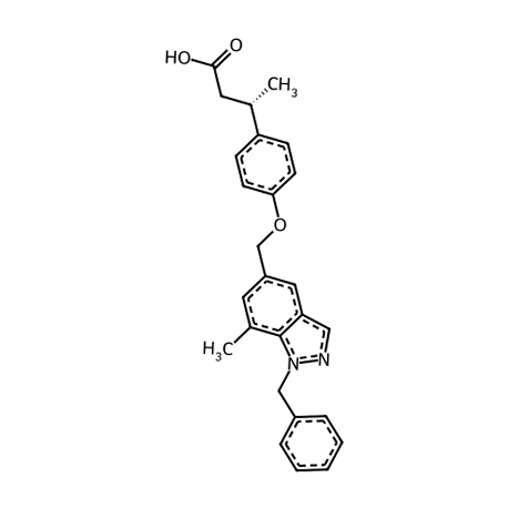 Cc1cc(COc2ccc([C@@H](C)CC(=O)O)cc2)cc2cnn(Cc3ccccc3)c12